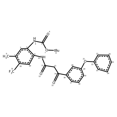 Cc1cc(NC(=O)OC(C)(C)C)c(NC(=O)CC(=O)c2cccc(Oc3ccccc3)c2)cc1C(F)(F)F